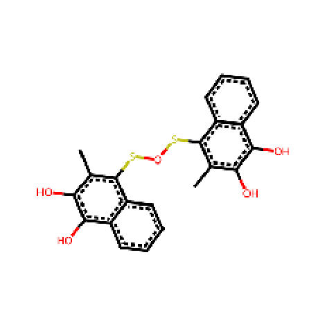 Cc1c(O)c(O)c2ccccc2c1SOSc1c(C)c(O)c(O)c2ccccc12